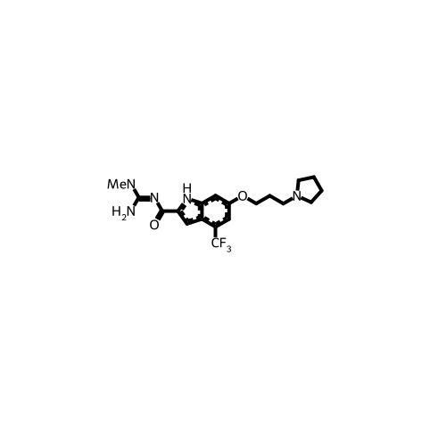 CNC(N)=NC(=O)c1cc2c(C(F)(F)F)cc(OCCCN3CCCC3)cc2[nH]1